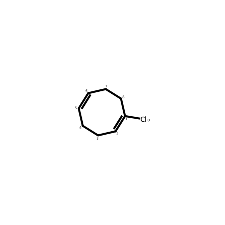 ClC1=CCCC=CCC1